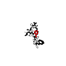 CC[C@H](C)C(C(CC(=O)N1CCC[C@H]1[C@H](OC)C(C)C(=O)NC(Cc1ccccc1)C(=O)OC)OC)N(C)C(=O)CNC(=O)C(C(C)C)N(C)CCc1ccc(N(C)C)cc1